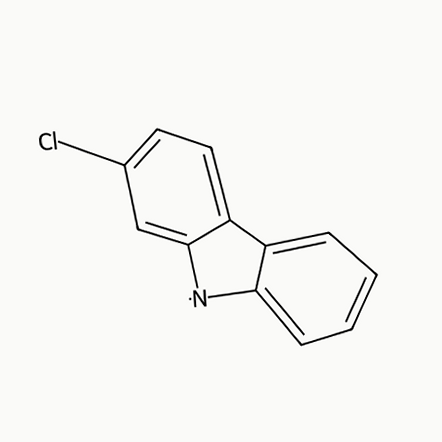 Clc1ccc2c(c1)[N]c1ccccc1-2